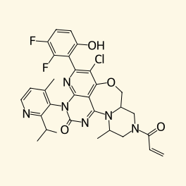 C=CC(=O)N1CC(C)N2c3nc(=O)n(-c4c(C)ccnc4C(C)C)c4nc(-c5c(O)ccc(F)c5F)c(Cl)c(c34)OCC2C1